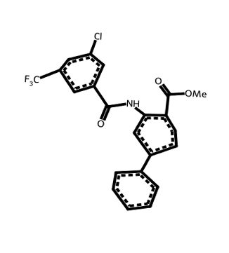 COC(=O)c1ccc(-c2ccccc2)cc1NC(=O)c1cc(Cl)cc(C(F)(F)F)c1